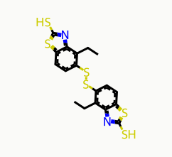 CCc1c(SSc2ccc3sc(S)nc3c2CC)ccc2sc(S)nc12